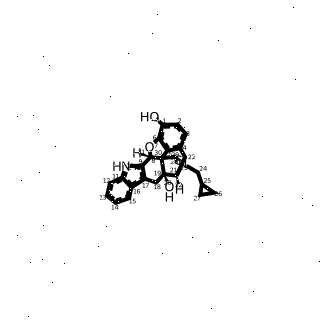 Oc1ccc2c3c1O[C@H]1c4[nH]c5ccccc5c4C[C@@]4(O)[C@@H](C2)N(CC2CC2)CCC314